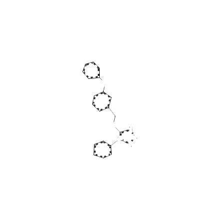 c1ccc(Oc2cccc(CSc3nnnn3-c3ccccc3)c2)cc1